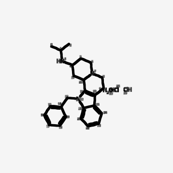 CC(C)NC1CCN2CCc3c(n(Cc4ccccc4)c4ccccc34)C2C1.Cl.Cl.O